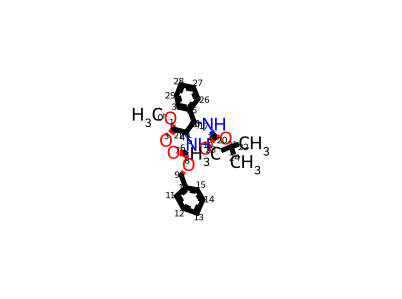 COC(=O)[C@H](NC(=O)OCc1ccccc1)[C@@H](NC(=O)OC(C)(C)C)c1ccccc1